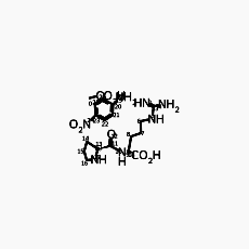 CC(=O)O.N=C(N)NCCCC(NC(=O)[C@@H]1CCCN1)C(=O)O.Nc1ccc([N+](=O)[O-])cc1